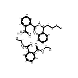 CCCCC(OC(=O)c1ccccc1C(=O)O)c1ccccc1.CCOC(=O)c1ccccc1C(=O)OCC